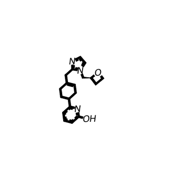 Oc1cccc(C2CC=C(Cc3nccn3C[C@@H]3CCO3)CC2)n1